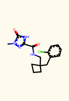 Cn1nc(C(=O)NCC2(Cc3ccccc3Cl)CCC2)[nH]c1=O